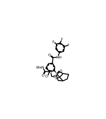 CNC(=O)OC[C@H]1CC2CCC(C1)[C@@H]2S(=O)(=O)c1cc(C(=O)Nc2cc(F)c(F)c(F)c2)ccc1Cl